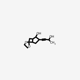 CC(O)C#CC1CC2C(CC23OCCO3)C1O